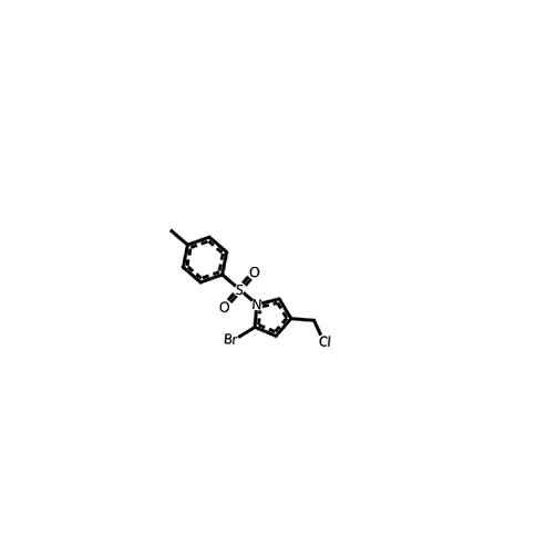 Cc1ccc(S(=O)(=O)n2cc(CCl)cc2Br)cc1